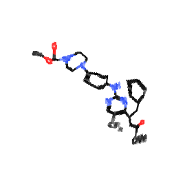 COC(=O)CC(Cc1ccccc1)c1nc(Nc2ccc(N3CCN(C(=O)OC(C)(C)C)CC3)cc2)ncc1C(F)(F)F